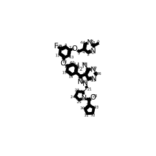 Cc1ncc(COc2cc(F)cc(Oc3ccc(-c4nn(C[C@H]5CCCN5C(=O)C5=CCCC5)c5ncnc(N)c45)cc3)c2)cn1